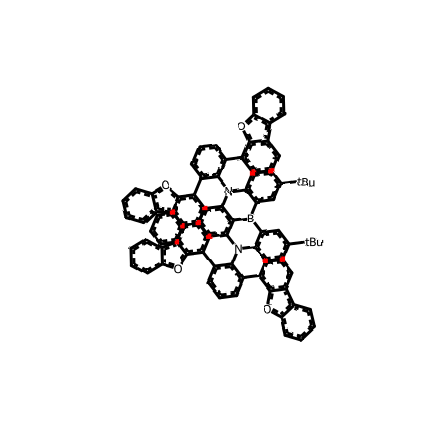 CC(C)(C)c1ccc2c(c1)B1c3cc(C(C)(C)C)ccc3N(c3c(-c4cccc5c4oc4ccccc45)cccc3-c3cccc4c3oc3ccccc34)c3cc(-c4ccccc4)cc(c31)N2c1c(-c2cccc3c2oc2ccccc23)cccc1-c1cccc2c1oc1ccccc12